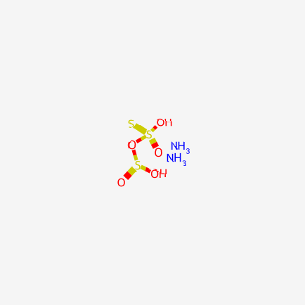 N.N.O=S(O)OS(=O)(O)=S